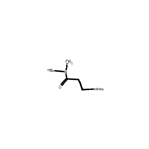 [CH2]CCCCCCCC(=O)N(C)CCCC